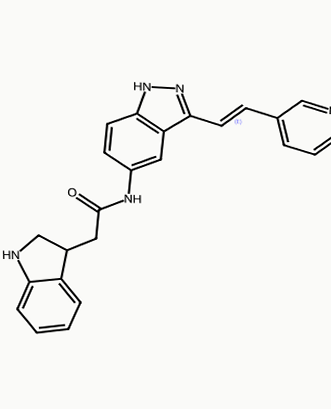 O=C(CC1CNc2ccccc21)Nc1ccc2[nH]nc(/C=C/c3cccnc3)c2c1